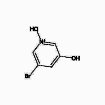 Oc1cc(Br)c[n+](O)c1